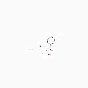 C[C@@]12OC(=O)[C@]1(C(=O)c1cccc(OS)c1)NC(=O)[C@@H]2CCCl